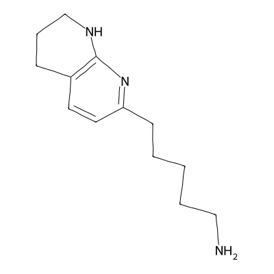 NCCCCCc1ccc2c(n1)NCCC2